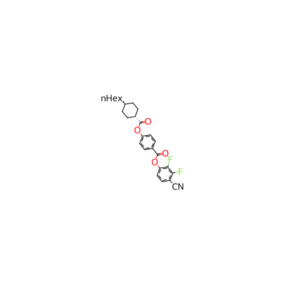 CCCCCC[C@H]1CC[C@H](C(=O)Oc2ccc(C(=O)Oc3ccc(C#N)c(F)c3F)cc2)CC1